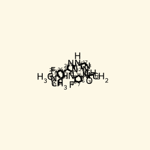 C=CC(=O)Nc1ccc(F)c(Nc2nc(Nc3cnn(C)c3)ncc2-c2cc(F)c(N(C)C)c(F)c2)c1